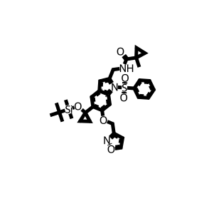 CC1(C(=O)NCc2cc3cc(C4(O[Si](C)(C)C(C)(C)C)CC4)c(OCc4ccon4)cc3n2S(=O)(=O)c2ccccc2)CC1